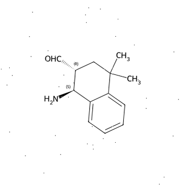 CC1(C)C[C@@H](C=O)[C@H](N)c2ccccc21